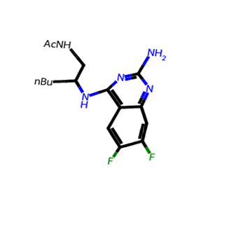 CCCCC(CNC(C)=O)Nc1nc(N)nc2cc(F)c(F)cc12